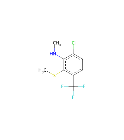 CNc1c(Cl)ccc(C(F)(F)F)c1SC